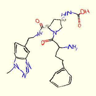 Cn1nnc2cc(CNC(=O)[C@@H]3C[C@H](NC(=O)O)CN3C(=O)C(N)CCc3ccccc3)ccc21